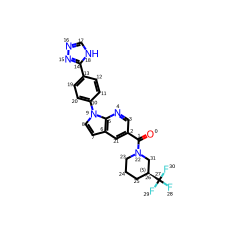 O=C(c1cnc2c(ccn2-c2ccc(-c3nnc[nH]3)cc2)c1)N1CCC[C@H](C(F)(F)F)C1